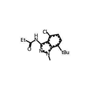 CCC(=O)Nc1nn(C)c2c(C(C)(C)C)ccc(Cl)c12